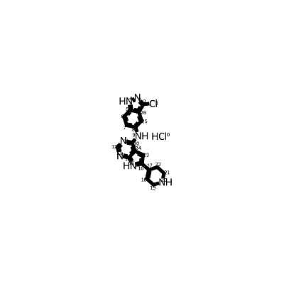 Cl.Clc1n[nH]c2ccc(Nc3ncnc4[nH]c(C5=CCNCC5)cc34)cc12